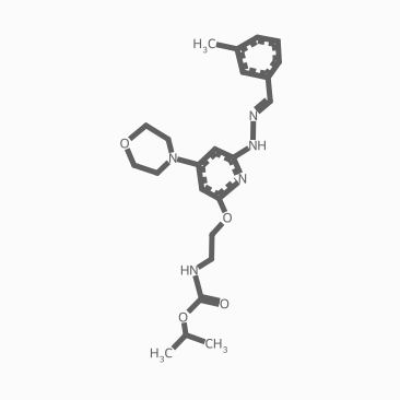 Cc1cccc(C=NNc2cc(N3CCOCC3)cc(OCCNC(=O)OC(C)C)n2)c1